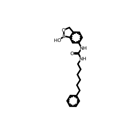 O=C(NCCCCCCc1ccccc1)Nc1ccc2c(c1)B(O)OC2